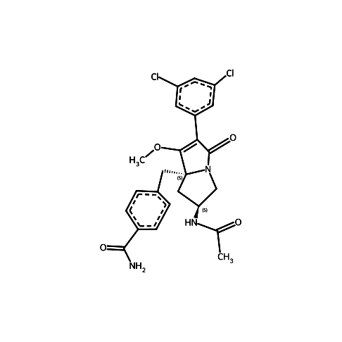 COC1=C(c2cc(Cl)cc(Cl)c2)C(=O)N2C[C@@H](NC(C)=O)C[C@@]12Cc1ccc(C(N)=O)cc1